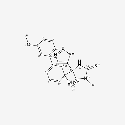 COc1cccc(C2=CC=CC(O)(C3(c4cncs4)NC(=S)N(C)C3=O)C2)c1